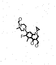 Cc1c(F)c(N2CCN(C=O)C(C)C2)cc2c1c(=O)c(C=O)cn2C1CC1